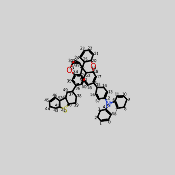 C1=CCCC(N(C2=CCCC=C2)C2=CCC(C3=CC4OC5C=CC=CC5C5(C6=CCCC=C6Oc6cc(C7CCC8SC9CCC=CC9C8C7)ccc65)C4C=C3)C=C2)=C1